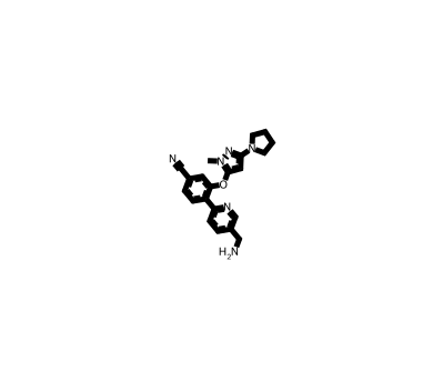 Cn1nc(N2CCCC2)cc1Oc1cc(C#N)ccc1-c1ccc(CN)cn1